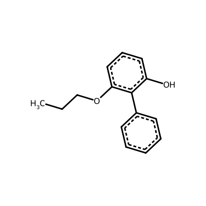 CCCOc1cccc(O)c1-c1ccccc1